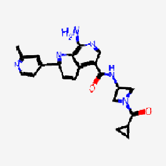 Cc1cc(-c2ccc3c(C(=O)NC4CN(C(=O)C5CC5)C4)cnc(N)c3n2)ccn1